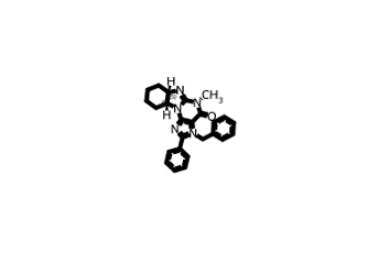 CN1C(=O)c2c(nc(-c3ccccc3)n2Cc2ccccc2)N2C1=N[C@H]1CCCC[C@H]12